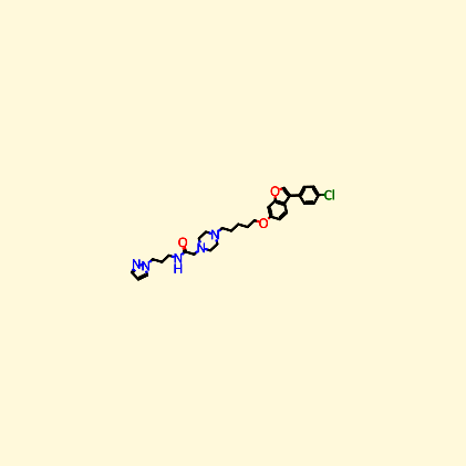 O=C(CN1CCN(CCCCCOc2ccc3c(-c4ccc(Cl)cc4)coc3c2)CC1)NCCCn1cccn1